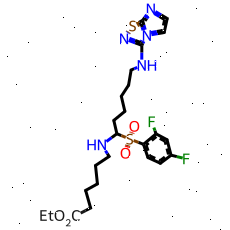 CCOC(=O)CCCCCNC(CCCCCNc1nsc2nccn12)S(=O)(=O)c1ccc(F)cc1F